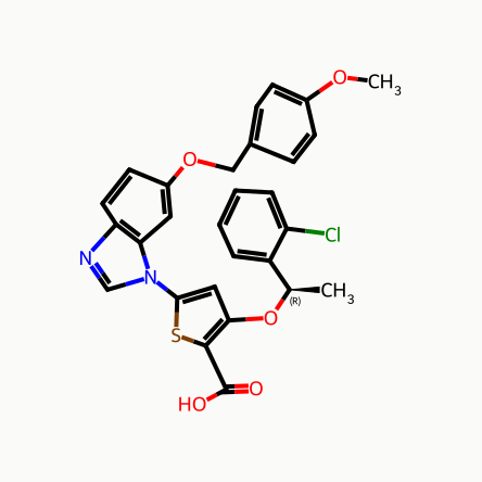 COc1ccc(COc2ccc3ncn(-c4cc(O[C@H](C)c5ccccc5Cl)c(C(=O)O)s4)c3c2)cc1